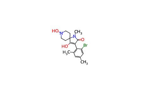 Cc1cc(C)c(C2=C(O)C3(CCN(O)CC3)N(C)C2=O)c(Br)c1